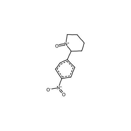 O=[N+]([O-])c1ccc(C2CCCC[N+]2=O)cc1